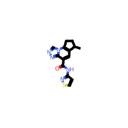 CC1CCc2c1cc(C(=O)Nc1ccsn1)c1nncn21